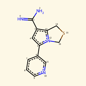 N=C(N)c1cc(-c2cccnc2)n2c1CSC2